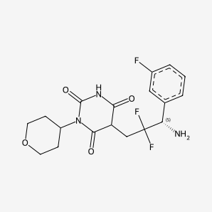 N[C@@H](c1cccc(F)c1)C(F)(F)CC1C(=O)NC(=O)N(C2CCOCC2)C1=O